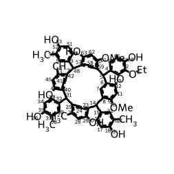 CCOc1cc(C2c3cc(c(OC)cc3O)C(c3ccc(O)c(C)c3)c3cc(c(C)cc3O)C(c3ccc(O)c(C)c3)c3cc(c(C)cc3O)C(c3ccc(O)c(C)c3)c3cc2c(OC)cc3O)ccc1O